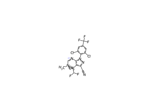 CN(C)/C=N\c1c(C(=O)C(F)F)c(C#N)nn1-c1c(Cl)cc(C(F)(F)F)cc1Cl